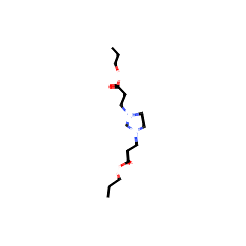 CCCOC(=O)CCN1CCN(CCC(=O)OCCC)C1